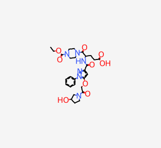 CCOC(=O)N1CCN(C(=O)C(CCC(=O)O)NC(=O)c2cc(OCC(=O)N3CCC(O)C3)n(-c3ccccc3)n2)CC1